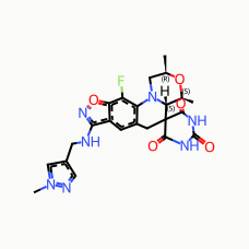 C[C@@H]1CN2c3c(cc4c(NCc5cnn(C)c5)noc4c3F)CC3(C(=O)NC(=O)NC3=O)[C@H]2[C@H](C)O1